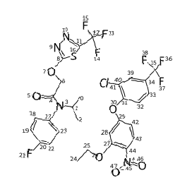 CC(C)N(C(=O)COc1nnc(C(F)(F)F)s1)c1ccc(F)cc1.CCOc1cc(Oc2ccc(C(F)(F)F)cc2Cl)ccc1[N+](=O)[O-]